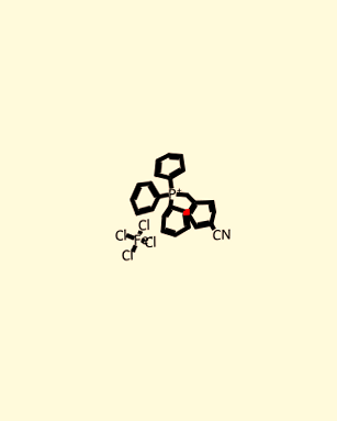 N#Cc1ccc(C[P+](c2ccccc2)(c2ccccc2)c2ccccc2)cc1.[Cl][Fe-]([Cl])([Cl])[Cl]